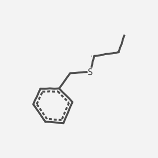 CC[CH]SCc1ccccc1